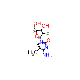 Cc1cn([C@@H]2O[C@H](CO)C(O)C2F)c(=O)nc1N